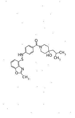 Cc1nc2c(SNc3ccc(C(=O)N4CCC(O)(CC(C)C)CC4)cc3)cccc2o1